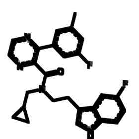 Cc1cc(F)cc(-c2nccnc2C(=O)N(CCc2c[nH]c3ccc(F)cc23)CC2CC2)c1